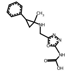 CC1(NCc2nnc(NC(=O)O)o2)CC1c1ccccc1